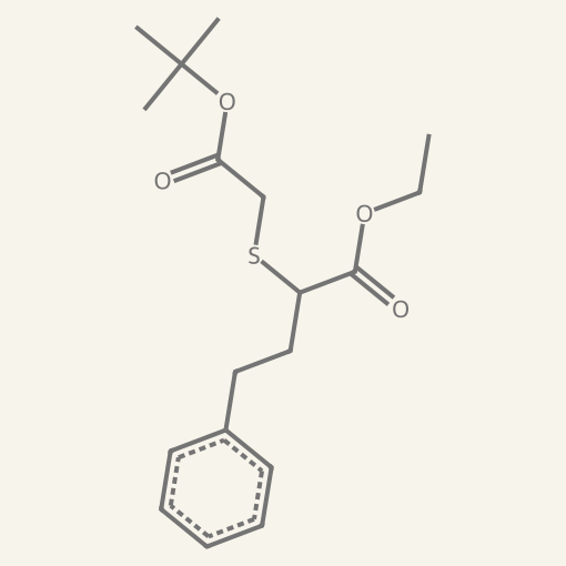 CCOC(=O)C(CCc1ccccc1)SCC(=O)OC(C)(C)C